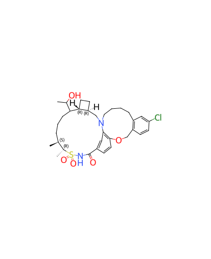 CC(O)C1CCC[C@H](C)[C@@H](C)S(=O)(=O)NC(=O)c2ccc3c(c2)N(CCCCc2cc(Cl)ccc2CO3)C[C@@H]2CC[C@@H]12